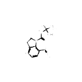 CC(C)(C)OC(=O)N1CCc2cccc(C=O)c21